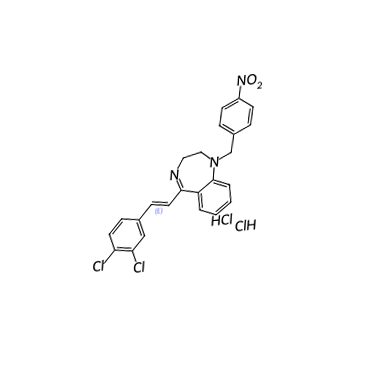 Cl.Cl.O=[N+]([O-])c1ccc(CN2CCN=C(/C=C/c3ccc(Cl)c(Cl)c3)c3ccccc32)cc1